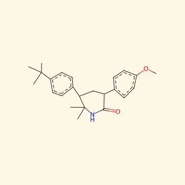 COc1ccc(C2CC(c3ccc(C(C)(C)C)cc3)C(C)(C)NC2=O)cc1